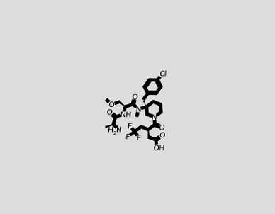 COC[C@H](NC(=O)[C@H](C)N)C(=O)N(C)[C@@]1(Cc2ccc(Cl)cc2)CCCN(C(=O)[C@@H](CC(=O)O)CC(F)(F)F)C1